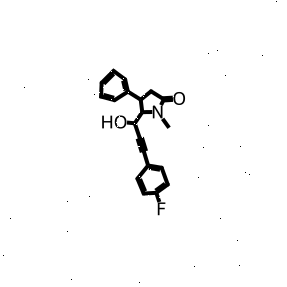 CN1C(=O)CC(c2ccccc2)C1C(O)C#Cc1ccc(F)cc1